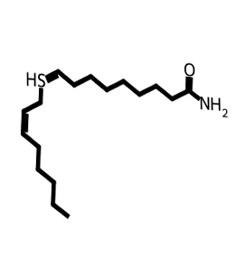 CCCCC/C=C\C/[SH]=C\CCCCCCCC(N)=O